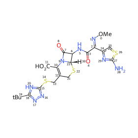 CON=C(C(=O)NC1C(=O)N2C(C(=O)O)=C(CSc3nnc(C(C)(C)C)[nH]3)CS[C@@H]12)c1csc(N)n1